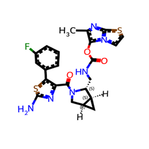 Cc1nc2sccn2c1OC(=O)NC[C@@H]1[C@H]2C[C@H]2CN1C(=O)c1nc(N)sc1-c1cccc(F)c1